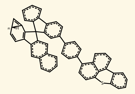 C1=C[C@@H]2C=C2C2=C1c1cc3ccccc3cc1C21c2ccccc2-c2ccc(-c3ccc(-c4ccc5c6c(cccc46)-c4ccccc4S5)cc3)cc21